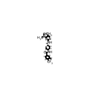 Cc1cnc(NC[C@H]2CC[C@@H](NC(=O)c3ccc(C(F)(F)F)c(F)c3)CC2)nc1N(C)C